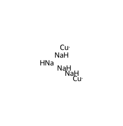 [Cu].[Cu].[NaH].[NaH].[NaH].[NaH]